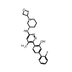 Cc1cc(N[C@@H]2CCCN(C3COC3)C2)nnc1-c1ccc(-c2ccccc2F)cc1O